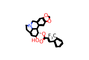 O=C(/C=C/c1ccccc1C(F)(F)F)O[C@H]1C2c3cc4c(cc3CN3CCC(=C[C@@H]1O)C23)OCO4